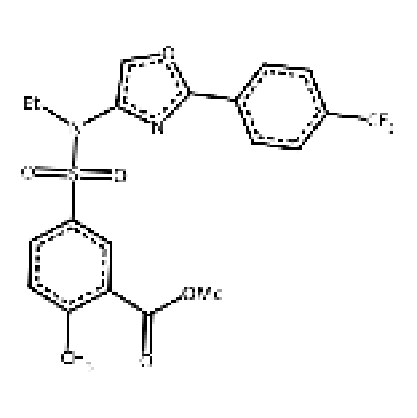 CCN(c1coc(-c2ccc(C(F)(F)F)cc2)n1)S(=O)(=O)c1ccc(C)c(C(=O)OC)c1